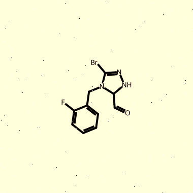 O=CC1NN=C(Br)N1Cc1ccccc1F